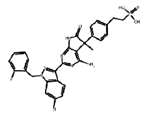 CC1(c2ccc(CCP(=O)(O)O)cc2)C(=O)Nc2nc(-c3nn(Cc4ccccc4F)c4cc(Cl)ccc34)nc(N)c21